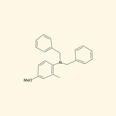 COc1ccc(N(Cc2ccccc2)Cc2ccccc2)c(C)c1